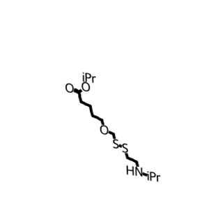 CC(C)NCCSSCOCCCCC(=O)OC(C)C